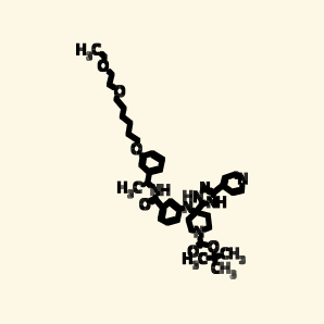 CCOCCOCCCCCCOc1cccc([C@H](C)NC(=O)c2cccc(NC3(c4nnc(-c5ccncc5)[nH]4)CCN(C(=O)OC(C)(C)C)CC3)c2)c1